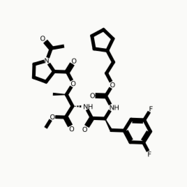 COC(=O)[C@@H](NC(=O)[C@H](Cc1cc(F)cc(F)c1)NC(=O)OCCC1CCCC1)[C@@H](C)OC(=O)C1CCCN1C(C)=O